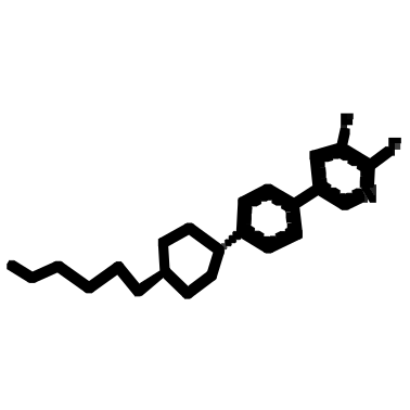 CCCCCC[C@H]1CC[C@H](c2ccc(-c3cnc(F)c(F)c3)cc2)CC1